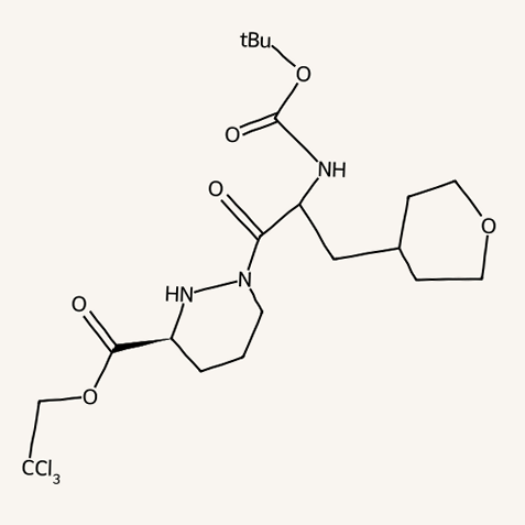 CC(C)(C)OC(=O)NC(CC1CCOCC1)C(=O)N1CCC[C@@H](C(=O)OCC(Cl)(Cl)Cl)N1